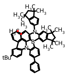 Cc1cc2c3c(c1)N(c1ccc(C(C)(C)C)cc1-c1ccccc1)c1cc(-c4ccccc4)ccc1B3c1cc3c(cc1N2c1ccc2c(c1)C(C)(C)CC2(C)C)C(C)(C)CC3(C)C